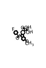 COc1ccc2c(c1)c1c(n2C(=O)c2ccc(F)cc2)CCC(C(=O)O)(C(=O)O)C1